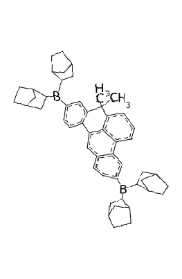 CC1(C)c2cc(B(C3CC4CCC3C4)C3CC4CCC3C4)ccc2-c2cc3ccc(B(C4CC5CCC4C5)C4CC5CCC4C5)cc3c3cccc1c23